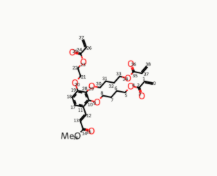 C=CC(=O)OCCCCOc1c(/C=C/C(=O)OC)ccc(OCCOC(=O)C=C)c1OCCCCOC(=O)C=C